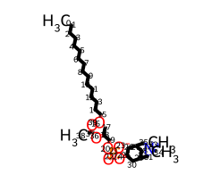 CCCCCCCCCCCCCCCCOCC(COP(=O)([O-])OC1CC2CC(C1)C[N+](C)(C)C2)OC(C)=O